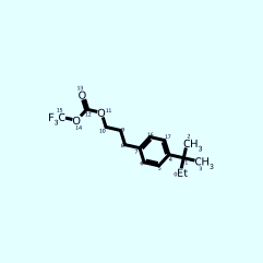 CCC(C)(C)c1ccc(CCCOC(=O)OC(F)(F)F)cc1